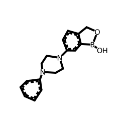 OB1OCc2ccc(N3CCN(c4ccccc4)CC3)cc21